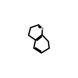 C1=CC2=C(CC1)N=CCC2